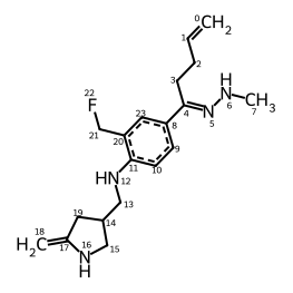 C=CCC/C(=N\NC)c1ccc(NCC2CNC(=C)C2)c(CF)c1